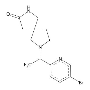 O=C1CC2(CCN(C(c3ccc(Br)cn3)C(F)(F)F)C2)CN1